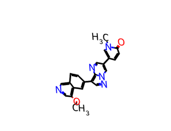 COc1cncc2ccc(-c3cnn4cc(-c5ccc(=O)n(C)c5)cnc34)cc12